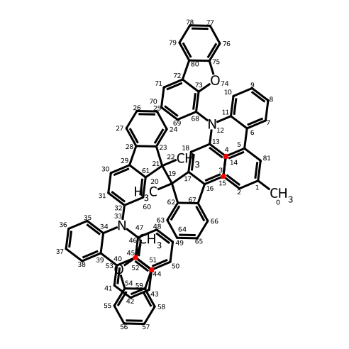 Cc1cccc(-c2ccccc2N(c2ccc3c(c2)C(C)(C2(C)c4ccccc4-c4ccc(N(c5ccccc5-c5ccccc5C)c5cccc6c5oc5ccccc56)cc42)c2ccccc2-3)c2cccc3c2oc2ccccc23)c1